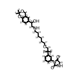 CC1(C)OCc2cc(C(O)CNCCCCCCOCC(F)(F)c3cccc(N4C(=O)CNC4=O)c3)ccc2O1